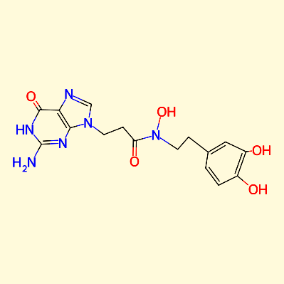 Nc1nc2c(ncn2CCC(=O)N(O)CCc2ccc(O)c(O)c2)c(=O)[nH]1